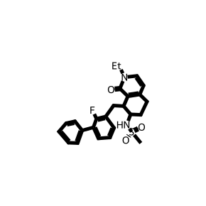 CCn1ccc2c(c1=O)C(Cc1cccc(-c3ccccc3)c1F)C(NS(C)(=O)=O)CC2